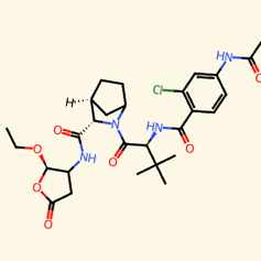 CCO[C@@H]1OC(=O)CC1NC(=O)[C@@H]1[C@H]2CCC(C2)N1C(=O)[C@@H](NC(=O)c1ccc(NC(C)=O)cc1Cl)C(C)(C)C